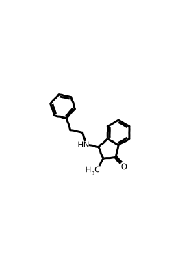 CC1C(=O)c2ccccc2C1NCCc1ccccc1